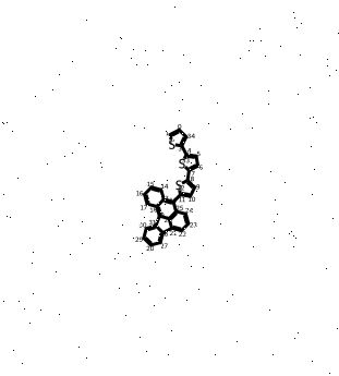 c1csc(-c2ccc(-c3ccc(-c4c5ccccc5c5c6c(cccc46)-c4ccccc4-5)s3)s2)c1